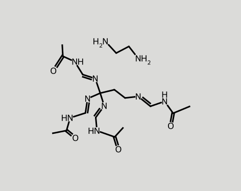 CC(=O)NC=NCCC(N=CNC(C)=O)(N=CNC(C)=O)N=CNC(C)=O.NCCN